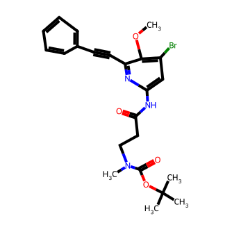 COc1c(Br)cc(NC(=O)CCN(C)C(=O)OC(C)(C)C)nc1C#Cc1ccccc1